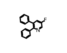 Fc1cnc(-c2ccccc2)c(-c2ccccc2)c1